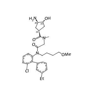 CCc1cccc(-c2c(Cl)cccc2N(CCCCOC)C(=O)CN(C)C(=O)[C@H]2C[C@@H](N)[C@@H](O)C2)c1